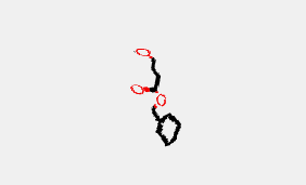 [O]CCCC(=O)OCc1ccccc1